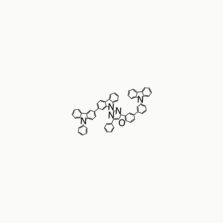 c1ccc(-c2nc(-n3c4ccccc4c4ccc(-c5ccc6c(c5)c5ccccc5n6-c5ccccc5)cc43)nc3c2oc2ccc(-c4cccc(-n5c6ccccc6c6ccccc65)c4)cc23)cc1